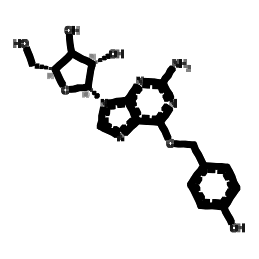 Nc1nc(OCc2ccc(O)cc2)c2ncn([C@@H]3O[C@H](CO)C(O)[C@@H]3O)c2n1